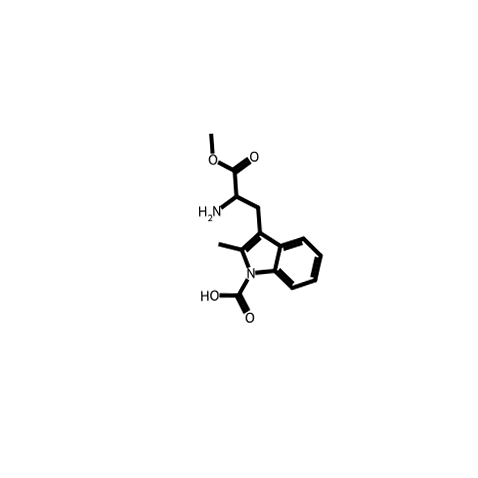 COC(=O)C(N)Cc1c(C)n(C(=O)O)c2ccccc12